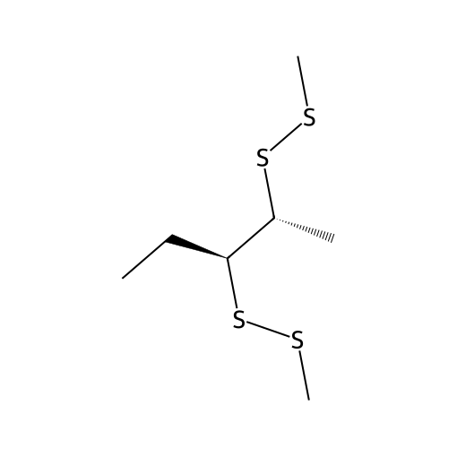 CC[C@H](SSC)[C@@H](C)SSC